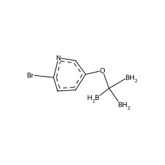 BC(B)(B)Oc1ccc(Br)nc1